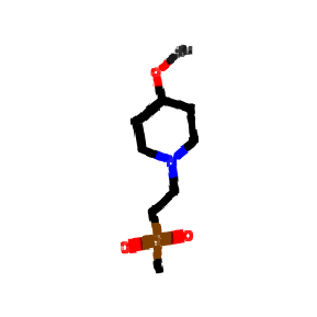 CC(C)(C)OC1CCN(CCS(C)(=O)=O)CC1